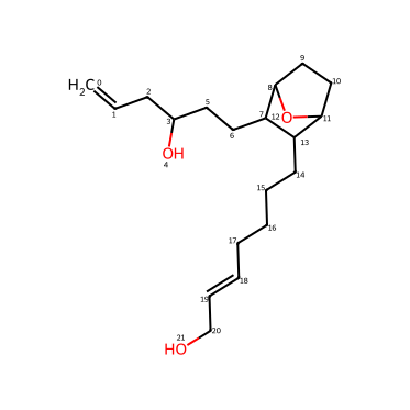 C=CCC(O)CCC1C2CCC(O2)C1CCCC/C=C/CO